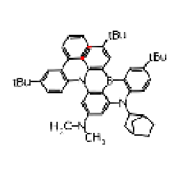 CN(C)c1cc2c3c(c1)N(C1CC4CCC1C4)c1ccc(C(C)(C)C)cc1B3c1cc(C(C)(C)C)ccc1N2c1ccc(C(C)(C)C)cc1-c1ccccc1